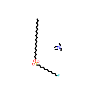 CCCCCCCCCCCCCCCCCCCCOS(=O)(=O)CCCCCCCCCCCF.CC[N+](CC)(CC)CC